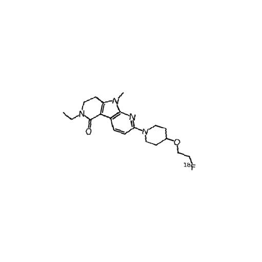 CCN1CCc2c(c3ccc(N4CCC(OCC[18F])CC4)nc3n2C)C1=O